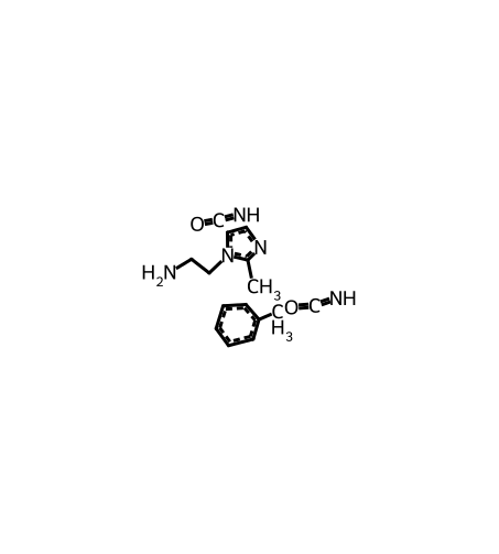 Cc1ccccc1.Cc1nccn1CCN.N=C=O.N=C=O